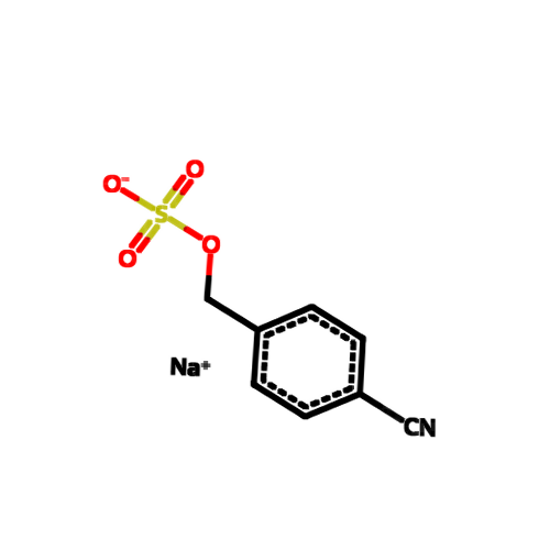 N#Cc1ccc(COS(=O)(=O)[O-])cc1.[Na+]